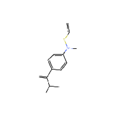 C=CSN(C)c1ccc(C(=C)C(C)C)cc1